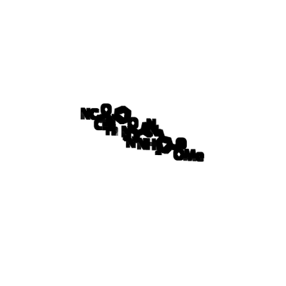 C=C(C#N)C(=O)Nc1cccc(Oc2ncnc(N)c2-c2cnn(Cc3cccc(C(=O)OC)c3)c2)c1